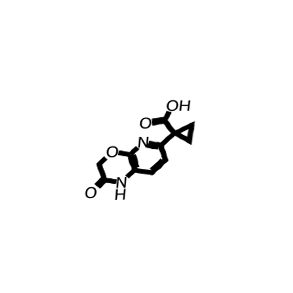 O=C1COc2nc(C3(C(=O)O)CC3)ccc2N1